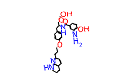 Nc1cc(C(=O)NC(COCO)Cc2ccc(OCCCc3ccc4c(n3)NCCC4)cc2)ccc1O